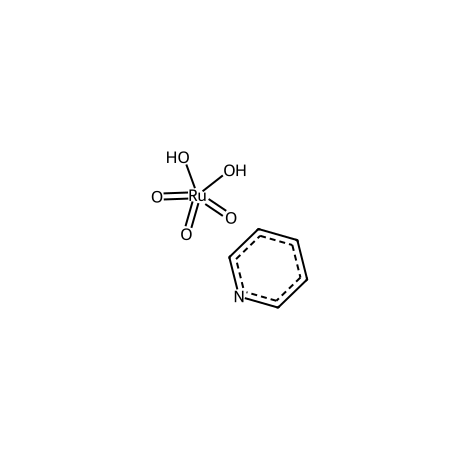 [O]=[Ru](=[O])(=[O])([OH])[OH].c1ccncc1